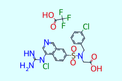 N=C(N)N(Cl)c1cncc2cc(S(=O)(=O)N(CC(=O)O)Cc3cccc(Cl)c3)ccc12.O=C(O)C(F)(F)F